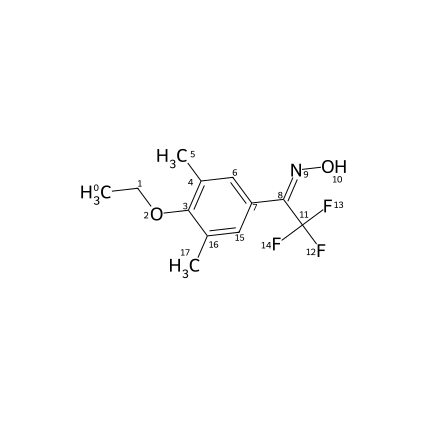 CCOc1c(C)cc(C(=NO)C(F)(F)F)cc1C